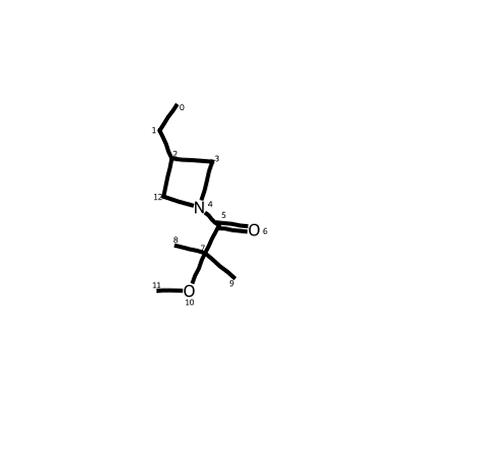 CCC1CN(C(=O)C(C)(C)OC)C1